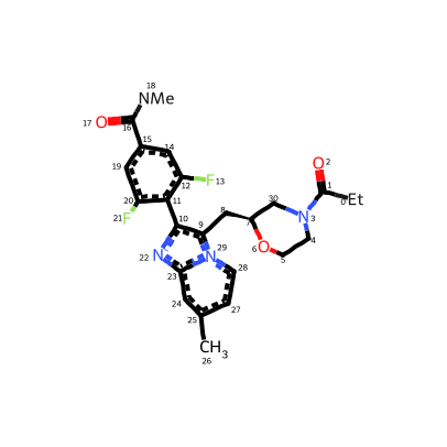 CCC(=O)N1CCO[C@@H](Cc2c(-c3c(F)cc(C(=O)NC)cc3F)nc3cc(C)ccn23)C1